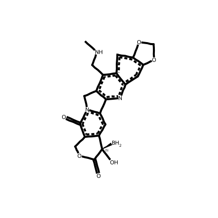 B[C@@]1(O)C(=O)OCc2c1cc1n(c2=O)Cc2c-1nc1cc3c(cc1c2CNC)OCO3